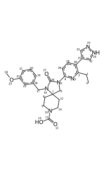 CCc1nc(N2CC3(CCN(C(=O)O)CC3)N(Cc3cccc(OC)c3)C2=O)ccc1-c1cn[nH]c1